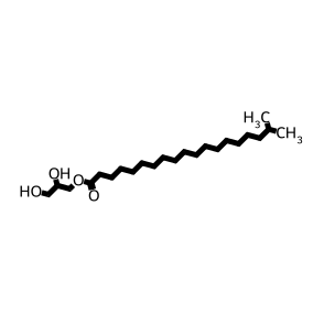 CC(C)CCCCCCCCCCCCCCCCC(=O)OCC(O)CO